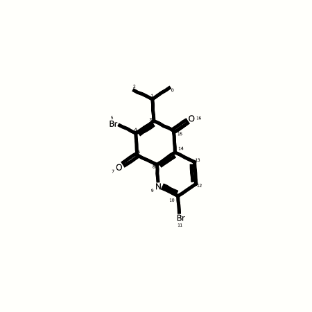 CC(C)C1=C(Br)C(=O)c2nc(Br)ccc2C1=O